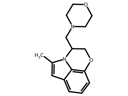 Cc1cc2cccc3c2n1C(CN1CCOCC1)CO3